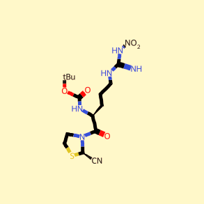 CC(C)(C)OC(=O)N[C@@H](CCCNC(=N)N[N+](=O)[O-])C(=O)N1CCS[C@@H]1C#N